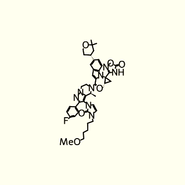 COCCCCCn1ccn(-c2c(-c3ccc(F)cc3)nn3c2[C@H](C)N(C(=O)c2cc4cc([C@@H]5CCOC(C)(C)C5)ccc4n2[C@@]2(c4noc(=O)[nH]4)C[C@@H]2C)CC3)c1=O